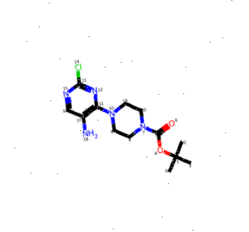 CC(C)(C)OC(=O)N1CCN(c2nc(Cl)ncc2N)CC1